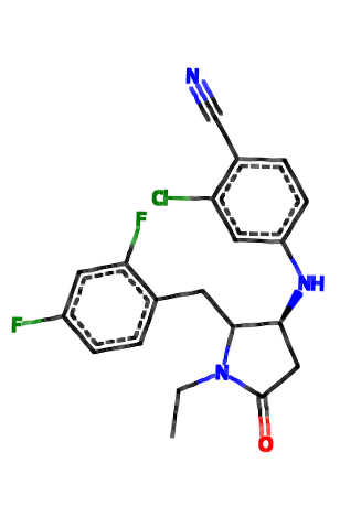 CCN1C(=O)C[C@H](Nc2ccc(C#N)c(Cl)c2)C1Cc1ccc(F)cc1F